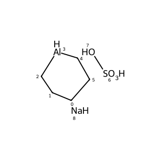 C1C[CH2][AlH][CH2]C1.O=S(=O)(O)O.[NaH]